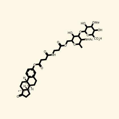 COC1C(O)C(OC2C(O)C(COC(=O)CCNC(=O)CCC(=O)Oc3ccc4c(c3)CC[C@@H]3[C@@H]4CC[C@]4(C)C(=O)CC[C@@H]34)OC(C)C2NC(C)=O)OC(C(=O)O)C1O